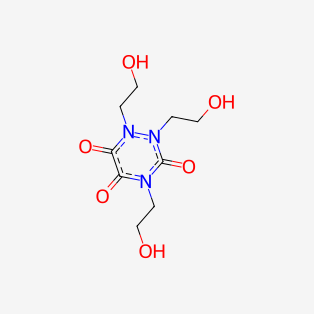 O=c1c(=O)n(CCO)n(CCO)c(=O)n1CCO